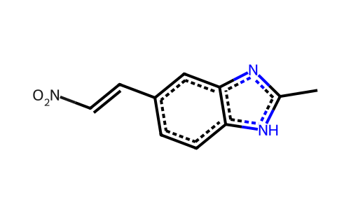 Cc1nc2cc(/C=C/[N+](=O)[O-])ccc2[nH]1